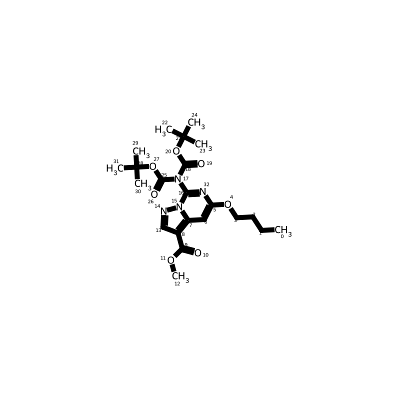 CCCCOc1cc2c(C(=O)OC)cnn2c(N(C(=O)OC(C)(C)C)C(=O)OC(C)(C)C)n1